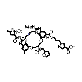 CCN(CC1CCCO1)C1COc2cc(C(=O)NCCCn3cc(C(=O)OF)cn3)cc3nc(NC)n(c23)C/C=C/Cn2c(NC(=O)c3cc(C)nn3CC)nc3cc(C)cc(c32)OC1